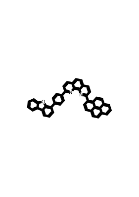 c1cc2ccc3ccc(-c4ccc5ccc6ccc(-c7ccc(-c8cccc9c8oc8ccccc89)cc7)nc6c5n4)c4ccc(c1)c2c34